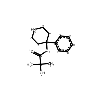 CC(C)(O)C(=O)OC1(c2ccccc2)CCNCC1